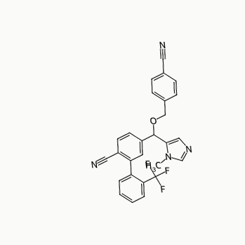 Cn1cncc1C(OCc1ccc(C#N)cc1)c1ccc(C#N)c(-c2ccccc2C(F)(F)F)c1